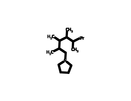 CC(C)C(C)C(C)C(C)C(C)CN1CCCC1